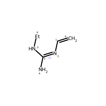 C=C/N=C(/N)NCC